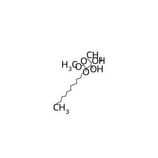 CCCCCCCCCCCCOC1C(OC)OC(C)C(O)C1O